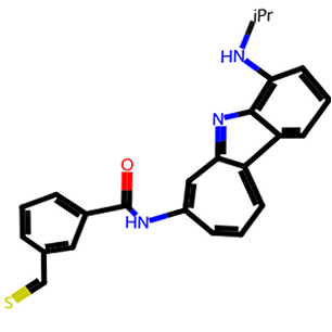 CC(C)Nc1cccc2c3cccc(NC(=O)c4cccc(C=S)c4)cc-3nc12